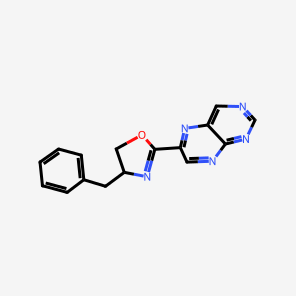 c1ccc(CC2COC(c3cnc4ncncc4n3)=N2)cc1